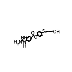 N=C(N)Nc1ccc(C(=O)Oc2ccc(SCCCCO)cc2)cc1